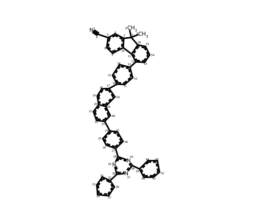 CC1(C)c2cc(C#N)ccc2-c2c(-c3ccc(-c4ccc5ccc(-c6ccc(-c7nc(-c8ccccc8)nc(-c8ccccc8)n7)cc6)cc5c4)cc3)cccc21